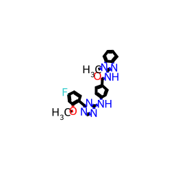 COc1cc(F)ccc1-c1ncnc(Nc2ccc(C(=O)Nc3nc4ccccc4n3C)cc2)n1